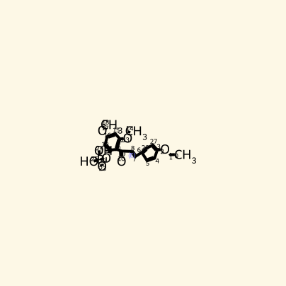 CCOc1ccc(/C=C/C(=O)c2c(OC)cc(OC)cc2OP(=O)(O)O)cc1